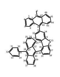 Cc1c2ccccc2c(-c2ccc3c(c2)sc2cccc(-c4c5ccccc5c(-c5ccccc5)c5ccccc45)c23)c2ccccc12